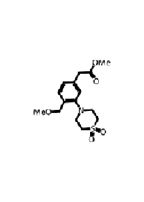 COCc1ccc(CC(=O)OC)cc1N1CCS(=O)(=O)CC1